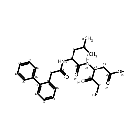 CC(C)C[C@H](NC(=O)Cc1ccccc1-c1ccccc1)C(=O)N[C@@H](CC(=O)O)C(=O)CF